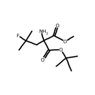 COC(=O)C(N)(CC(C)(C)F)C(=O)OC(C)(C)C